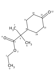 CCOC(=O)C(C)(C)C1CCC(=O)CC1